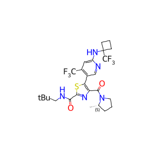 C[C@H]1CCCN1C(=O)c1nc(C(=O)NCC(C)(C)C)sc1-c1cnc(NC2(C(F)(F)F)CCC2)cc1C(F)(F)F